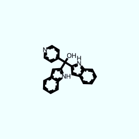 OC(c1ccncc1)(c1cc2ccccc2[nH]1)c1cc2ccccc2[nH]1